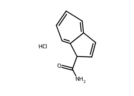 Cl.NC(=O)C1C=Cc2ccccc21